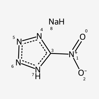 O=[N+]([O-])c1nnn[nH]1.[NaH]